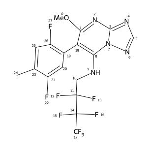 COc1nc2ncnn2c(NCC(F)(F)C(F)(F)C(F)(F)F)c1-c1cc(F)c(C)cc1F